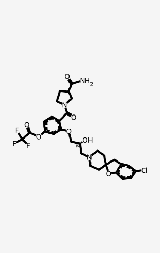 NC(=O)C1CCN(C(=O)c2ccc(OC(=O)C(F)(F)F)cc2OC[C@@H](O)CN2CCC3(CC2)Cc2cc(Cl)ccc2O3)C1